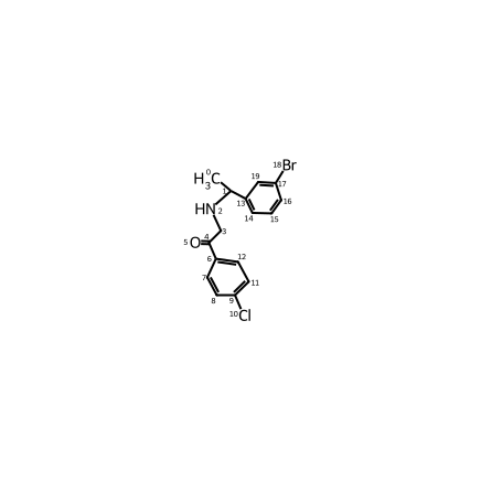 CC(NCC(=O)c1ccc(Cl)cc1)c1cccc(Br)c1